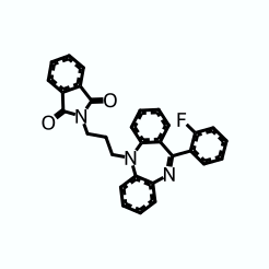 O=C1c2ccccc2C(=O)N1CCCN1c2ccccc2N=C(c2ccccc2F)c2ccccc21